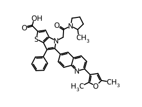 Cc1cc(-c2ccc3cc(-c4c(-c5ccccc5)c5sc(C(=O)O)cc5n4CC(=O)N4CCCC4C)ccc3n2)c(C)o1